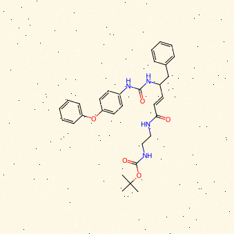 CC(C)(C)OC(=O)NCCNC(=O)C=CC(Cc1ccccc1)NC(=O)Nc1ccc(Oc2ccccc2)cc1